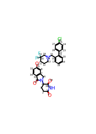 O=C1CCC(N2Cc3cc(O[C@H]4CCN(Cc5ccccc5-c5ccc(Cl)cc5)CC4(F)F)ccc3C2=O)C(=O)N1